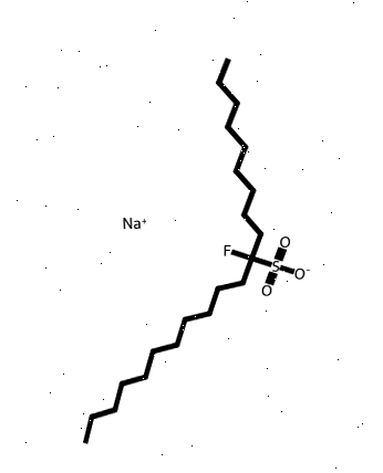 CCCCCCCCCCCC(F)(CCCCCCCCC)S(=O)(=O)[O-].[Na+]